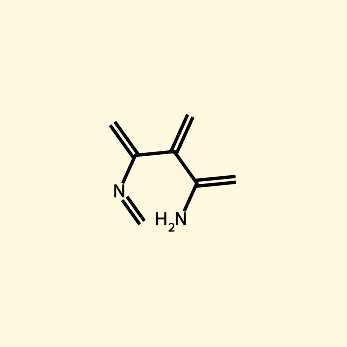 C=NC(=C)C(=C)C(=C)N